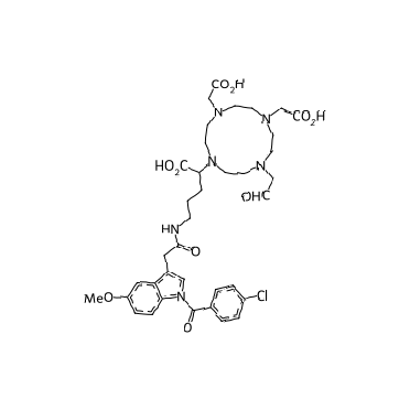 COc1ccc2c(c1)c(CC(=O)NCCCC(C(=O)O)N1CCN(CC=O)CCN(CC(=O)O)CCN(CC(=O)O)CC1)cn2C(=O)c1ccc(Cl)cc1